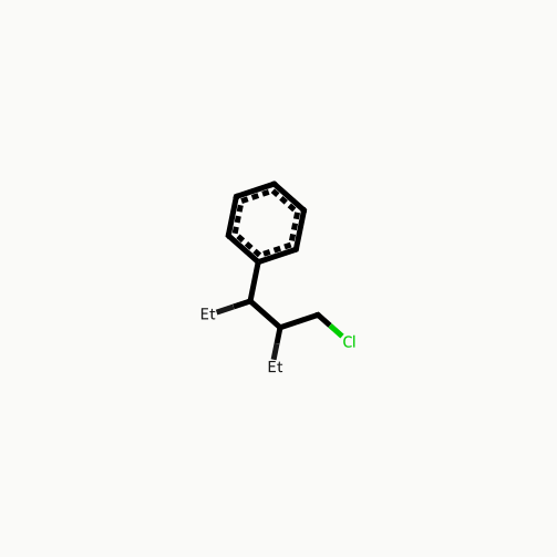 CCC(CCl)C(CC)c1ccccc1